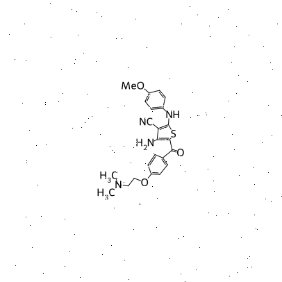 COc1ccc(Nc2sc(C(=O)c3ccc(OCCN(C)C)cc3)c(N)c2C#N)cc1